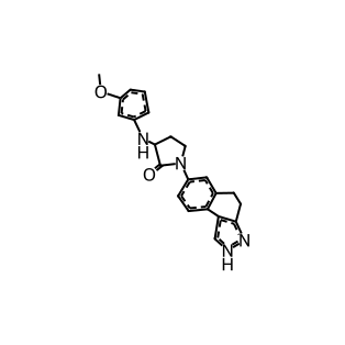 COc1cccc(NC2CCN(c3ccc4c(c3)CCc3n[nH]cc3-4)C2=O)c1